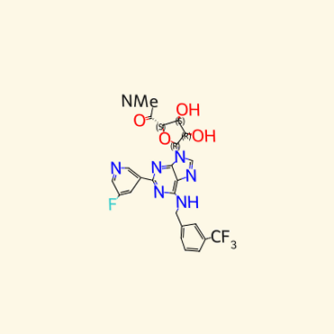 CNC(=O)[C@H]1O[C@@H](n2cnc3c(NCc4cccc(C(F)(F)F)c4)nc(-c4cncc(F)c4)nc32)[C@H](O)[C@@H]1O